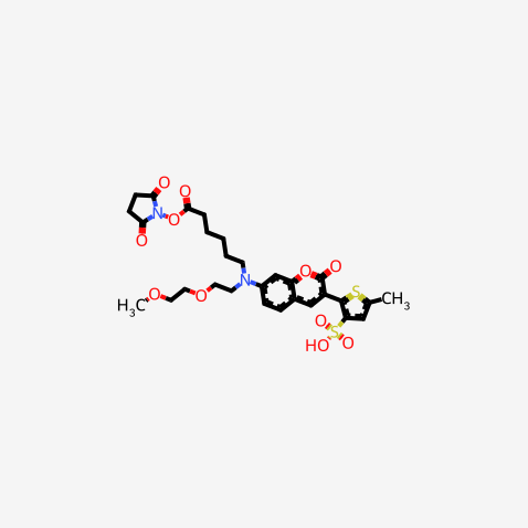 COCCOCCN(CCCCCC(=O)ON1C(=O)CCC1=O)c1ccc2cc(-c3sc(C)cc3S(=O)(=O)O)c(=O)oc2c1